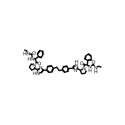 CCNC(=O)NC(C(=O)N1CCCC1c1nc(-c2ccc(CCc3ccc(-c4c[nH]c(C5CCCN5C(=O)C(NC(=O)NCC)c5ccccc5)n4)cc3)cc2)c[nH]1)c1ccccc1